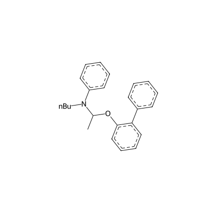 CCCCN(c1ccccc1)C(C)Oc1ccccc1-c1ccccc1